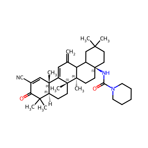 C=C1C=C2[C@@]3(C)C=C(C#N)C(=O)C(C)(C)[C@@H]3CC[C@@]2(C)[C@]2(C)CC[C@@]3(NC(=O)N4CCCCC4)CCC(C)(C)CC3C12